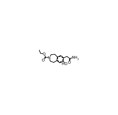 CCOC(=O)N1CCc2cc(O)c(CC(N)=O)cc2CC1